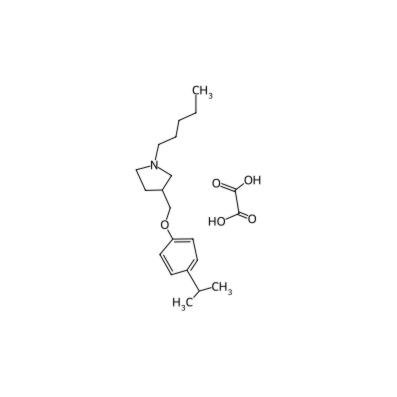 CCCCCN1CCC(COc2ccc(C(C)C)cc2)C1.O=C(O)C(=O)O